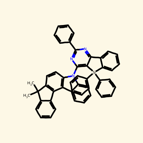 CC1(C)c2ccccc2-c2c1ccc1c2c2ccccc2n1-c1nc(-c2ccccc2)nc2c1[Si](c1ccccc1)(c1ccccc1)c1ccccc1-2